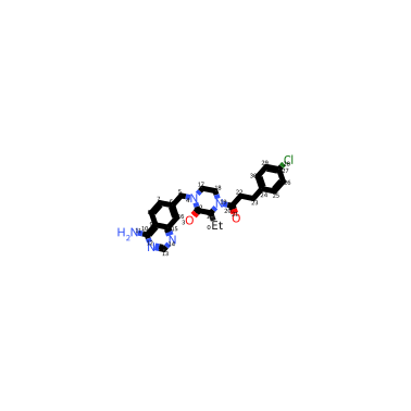 CCC1C(=O)N(Cc2ccc3c(N)ncnc3c2)CCN1C(=O)CCc1ccc(Cl)cc1